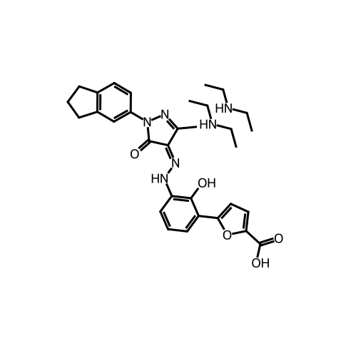 CC1=NN(c2ccc3c(c2)CCC3)C(=O)C1=NNc1cccc(-c2ccc(C(=O)O)o2)c1O.CCNCC.CCNCC